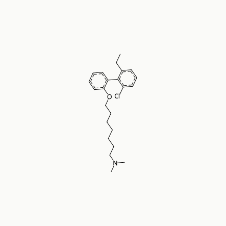 CCc1cccc(Cl)c1-c1ccccc1OCCCCCCCN(C)C